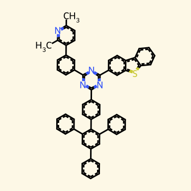 Cc1ccc(-c2cccc(-c3nc(-c4ccc(-c5c(-c6ccccc6)cc(-c6ccccc6)cc5-c5ccccc5)cc4)nc(-c4ccc5c(c4)sc4ccccc45)n3)c2)c(C)n1